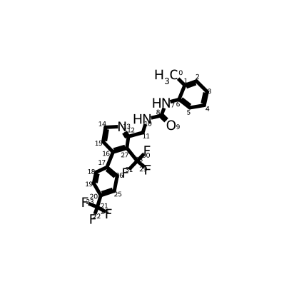 Cc1ccccc1NC(=O)NCc1nccc(-c2ccc(C(F)(F)F)cc2)c1C(F)(F)F